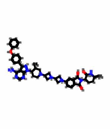 BC1CN(C2CN(C3CN(c4ccc5c(c4)C(=O)N(C4CCC(=C)NC4=O)C5=O)C3)C2)CCC1n1nc(-c2ccc(Oc3ccccc3)cc2)c2c(N)ncnc21